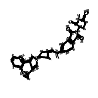 CNc1cccnc1-c1cn(C2CC(=CNc3ccc4c(c3)C(=O)N(C3CCC(=O)NC3=O)C4=O)C2)nc1C1CC1